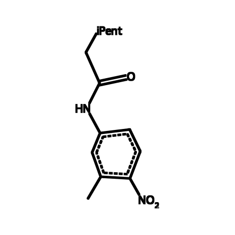 CCCC(C)CC(=O)Nc1ccc([N+](=O)[O-])c(C)c1